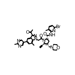 C#C[C@@H]1[C@@H](CN2CCOCC2)C[C@@H](C(=O)Nc2nc(Br)ccc2C)N1C(=O)Cn1nc(C(C)=O)c2cc(-c3cnc(C)nc3)cc(C)c21